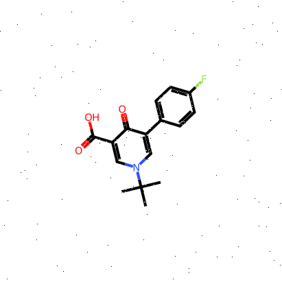 CC(C)(C)n1cc(C(=O)O)c(=O)c(-c2ccc(F)cc2)c1